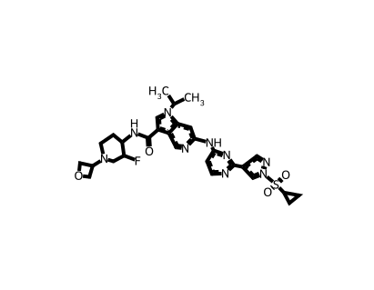 CC(C)n1cc(C(=O)NC2CCN(C3COC3)CC2F)c2cnc(Nc3ccnc(-c4cnn(S(=O)(=O)C5CC5)c4)n3)cc21